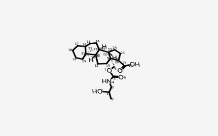 CC(O)CNC(=O)OC[C@]12CC[C@H]3[C@@H](CCC4CCCC[C@@]43C)[C@@H]1CCC2C(=O)O